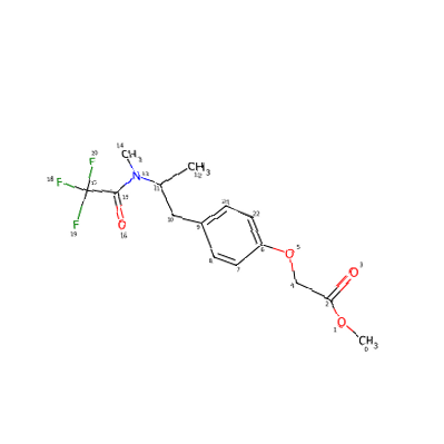 COC(=O)COc1ccc(CC(C)N(C)C(=O)C(F)(F)F)cc1